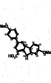 COc1ccc(-c2cc(C(=O)O)c3[nH]c4nc(OC)ccc4c3n2)cc1